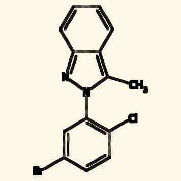 Cc1c2ccccc2nn1-c1cc(Br)ccc1Cl